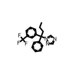 CCCC(c1ccccc1)(c1cccc(C(F)(F)F)c1)n1cncn1